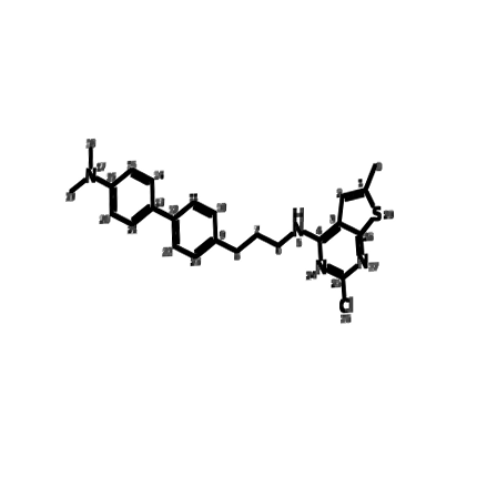 Cc1cc2c(NCCCc3ccc(-c4ccc(N(C)C)cc4)cc3)nc(Cl)nc2s1